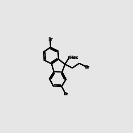 CCCCCCC1(CCBr)c2cc(Br)ccc2-c2ccc(Br)cc21